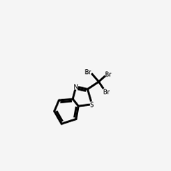 BrC(Br)(Br)c1nc2ccccc2s1